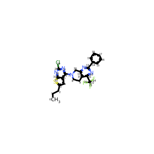 CCCc1cc2c(N3CCc4c(nc(-c5ccccc5)nc4C(F)(F)F)C3)nc(Cl)nc2s1